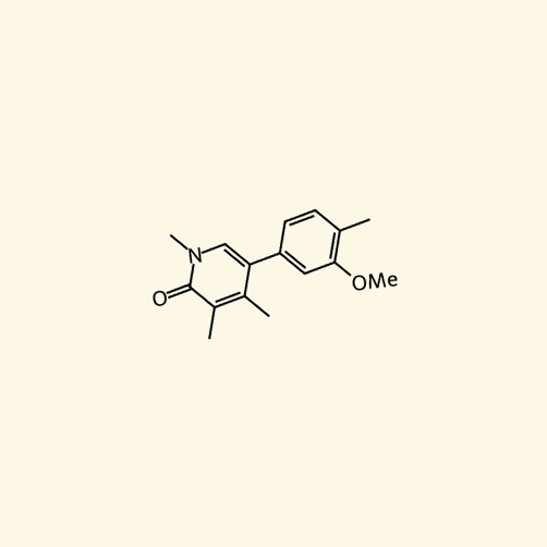 COc1cc(-c2cn(C)c(=O)c(C)c2C)ccc1C